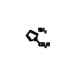 N.O=C(O)n1cccc1